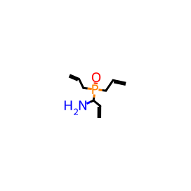 C=CCP(=O)(CC=C)C(N)C=C